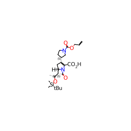 C=CCOC(=O)N1CC[C@@H](C2=C(C(=O)O)N3C(=O)[C@H]([C@@H](C)O[Si](C)(C)C(C)(C)C)[C@H]3C2)C1